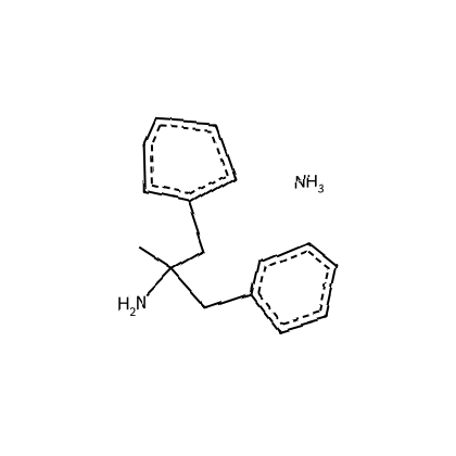 CC(N)(Cc1ccccc1)Cc1ccccc1.N